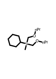 CCCOC[Si](C)(COCCC)C1CCCCC1